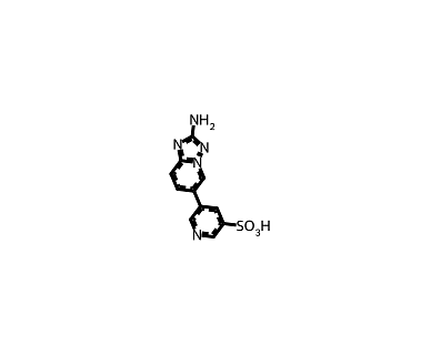 Nc1nc2ccc(-c3cncc(S(=O)(=O)O)c3)cn2n1